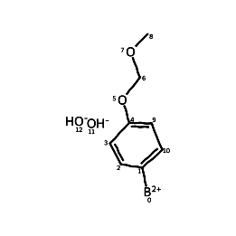 [B+2]c1ccc(OCOC)cc1.[OH-].[OH-]